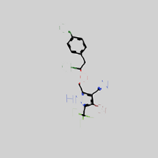 N#Cc1c(COC(Cl)Cc2ccc(Cl)cc2)[nH]c(C(F)(F)F)c1Br